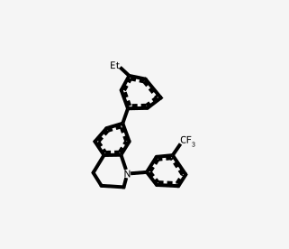 CCc1cccc(-c2ccc3c(c2)N(c2cccc(C(F)(F)F)c2)CCC3)c1